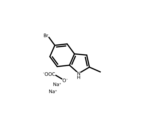 Cc1cc2cc(Br)ccc2[nH]1.O=C([O-])[O-].[Na+].[Na+]